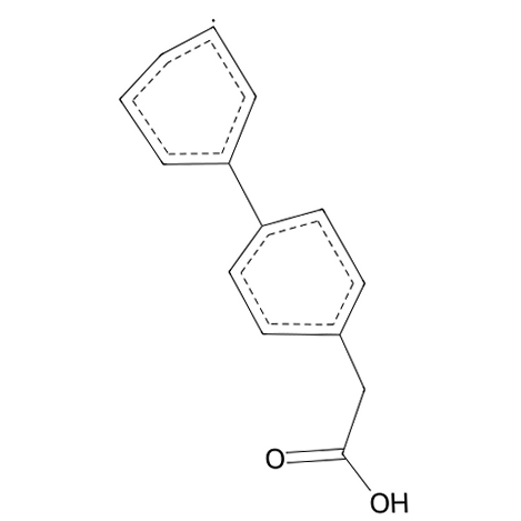 O=C(O)Cc1ccc(-c2c[c]ccc2)cc1